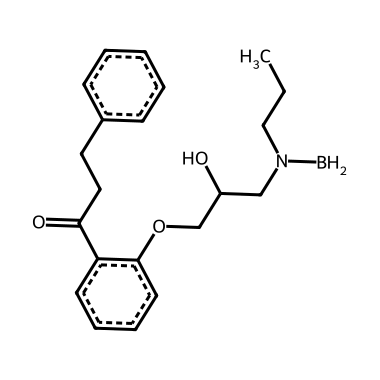 BN(CCC)CC(O)COc1ccccc1C(=O)CCc1ccccc1